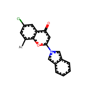 CC(=O)c1cc(Cl)cc2c(=O)cc(-n3cc4ccccc4c3)oc12